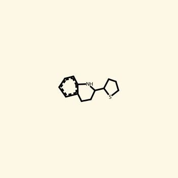 c1ccc2c(c1)CCC([C]1CCCS1)N2